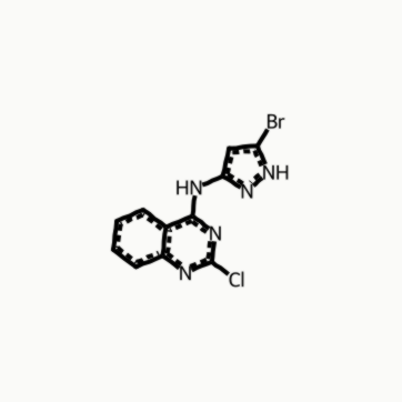 Clc1nc(Nc2cc(Br)[nH]n2)c2ccccc2n1